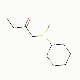 CCC(=O)C[S+](C)C1CCCCC1